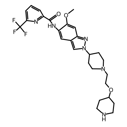 COc1cc2nn(C3CCN(CCOC4CCNCC4)CC3)cc2cc1NC(=O)c1cccc(C(F)(F)F)n1